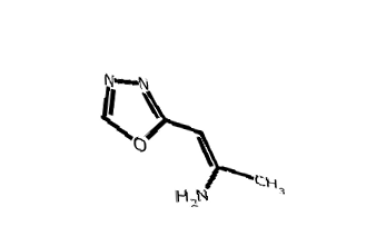 CC(N)=Cc1nnco1